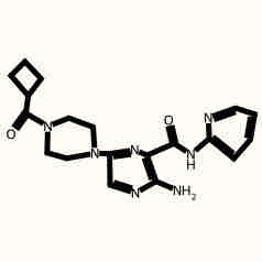 Nc1ncc(N2CCN(C(=O)C3CCC3)CC2)nc1C(=O)Nc1ccccn1